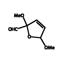 COC1C=CC(C=O)(OC)O1